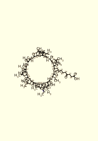 C/C=C/C[C@@H](C)[C@@H](O)[C@@H]1C(=O)N[C@H](CC)C(=O)N(C)[C@H](CSCCCC(=O)CCC(=O)O)C(=O)N(C)[C@@H](CC(C)C)C(=O)N[C@H](C(C)C)C(=O)N(C)[C@H](CC(C)C)C(=O)N[C@H](C)C(=O)N[C@@H](C)C(=O)N(C)[C@H](CC(C)C)C(=O)N(C)[C@H](CC(C)C)C(=O)N(C)[C@H](C(C)C)C(=O)N1C